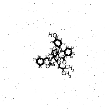 CC(C)COC1(N2C(=O)c3ccccc3N(c3ccc(O)cc3)C23CCCC3)SC(=O)N(Cc2ccccc2)C1=O